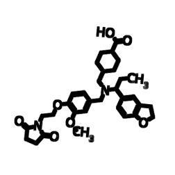 CCC(c1ccc2c(c1)CCO2)N(Cc1ccc(OCCN2C(=O)CCC2=O)c(OC)c1)CC1CCC(C(=O)O)CC1